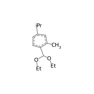 CCOC(OCC)c1ccc(C(C)C)cc1C